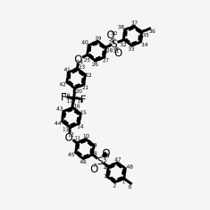 Cc1ccc(S(=O)(=O)c2ccc(Oc3ccc(C(F)(F)c4ccc(Oc5ccc(S(=O)(=O)c6ccc(C)cc6)cc5)cc4)cc3)cc2)cc1